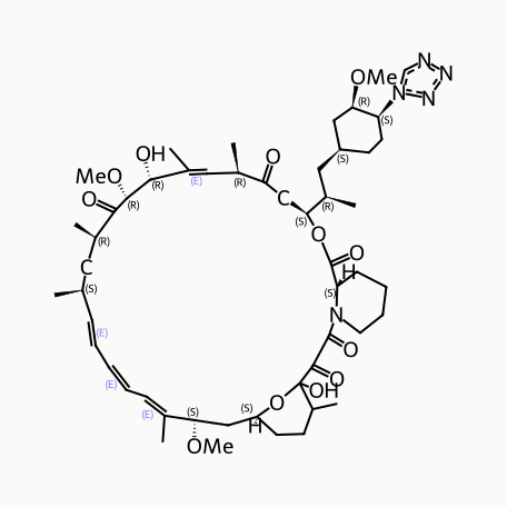 CO[C@H]1C[C@@H]2CCC(C)C(O)(O2)C(=O)C(=O)N2CCCC[C@H]2C(=O)O[C@H]([C@H](C)C[C@@H]2CC[C@H](n3cnnn3)[C@H](OC)C2)CC(=O)[C@H](C)/C=C(\C)[C@@H](O)[C@@H](OC)C(=O)[C@H](C)C[C@H](C)/C=C/C=C/C=C/1C